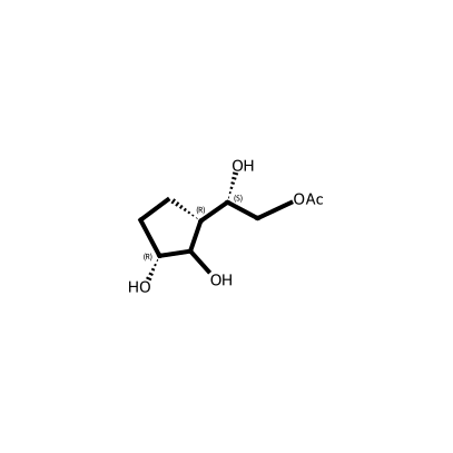 CC(=O)OC[C@@H](O)[C@H]1CC[C@@H](O)C1O